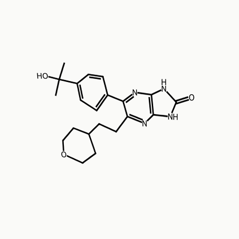 CC(C)(O)c1ccc(-c2nc3[nH]c(=O)[nH]c3nc2CCC2CCOCC2)cc1